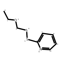 CCOCSSc1ccccn1